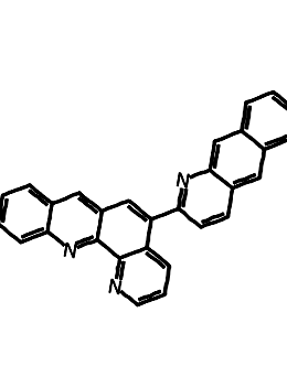 c1ccc2cc3nc(-c4cc5cc6ccccc6nc5c5ncccc45)ccc3cc2c1